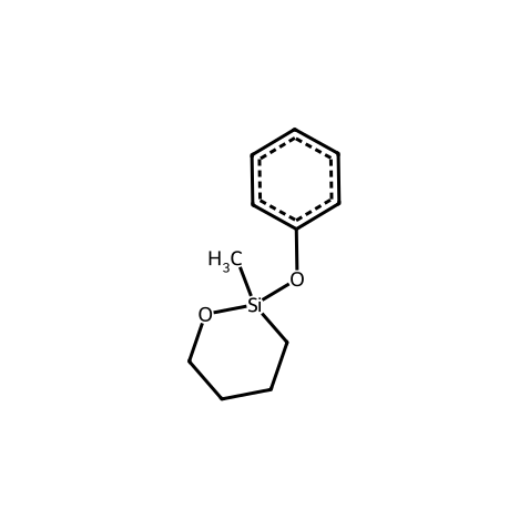 C[Si]1(Oc2ccccc2)CCCCO1